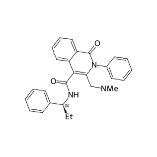 CC[C@H](NC(=O)c1c(CNC)n(-c2ccccc2)c(=O)c2ccccc12)c1ccccc1